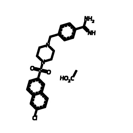 CC(=O)O.N=C(N)c1ccc(CN2CCN(S(=O)(=O)c3ccc4cc(Cl)ccc4c3)CC2)cc1